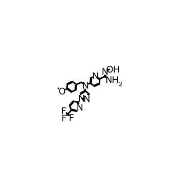 COc1ccc(CN(c2ccc(C(N)=NO)nc2)c2cnn(-c3ccc(C(F)(F)F)cn3)c2)cc1